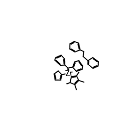 CC1=C(C)C(C)[C]([Zr]([C]2=CC=CC2)=[C](c2ccccc2)c2ccccc2)=C1C.c1ccc(CCc2ccccc2)cc1